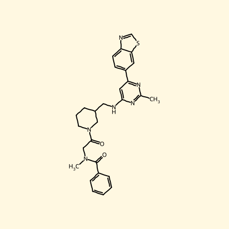 Cc1nc(NCC2CCCN(C(=O)CN(C)C(=O)c3ccccc3)C2)cc(-c2ccc3ncsc3c2)n1